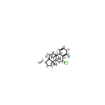 CC[C@H]1CC[C@H]2[C@@H]3C[C@H](Cl)C4=C(F)CC=C[C@]4(C)[C@H]3CC[C@]12C